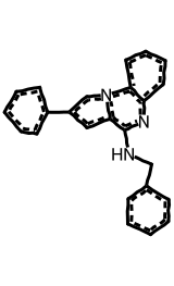 c1ccc(CNc2nc3ccccc3n3cc(-c4ccccc4)cc23)cc1